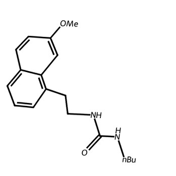 CCCCNC(=O)NCCc1cccc2ccc(OC)cc12